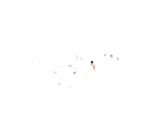 CO[C@@H]1C[C@H](NC(=O)OC(C)(C)C)CN(C)C1